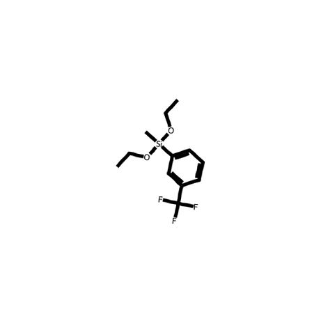 CCO[Si](C)(OCC)c1cccc(C(F)(F)F)c1